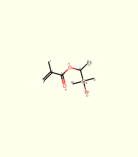 C=C(C)C(=O)OC(CC)[Si](C)(C)Br